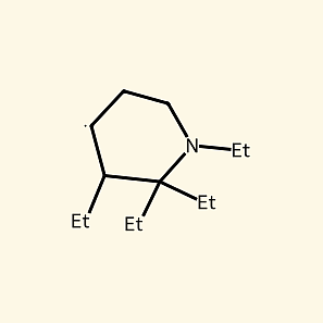 CCC1[CH]CCN(CC)C1(CC)CC